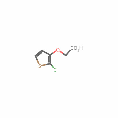 O=C(O)COc1ccsc1Cl